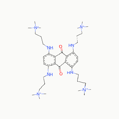 C[N+](C)(C)CCCNc1ccc(NCCC[N+](C)(C)C)c2c1C(=O)c1c(NCCC[N+](C)(C)C)ccc(NCCC[N+](C)(C)C)c1C2=O